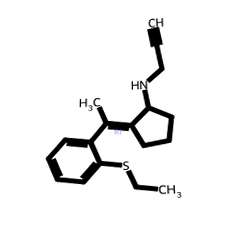 C#CCNC1CCC/C1=C(/C)c1ccccc1SCC